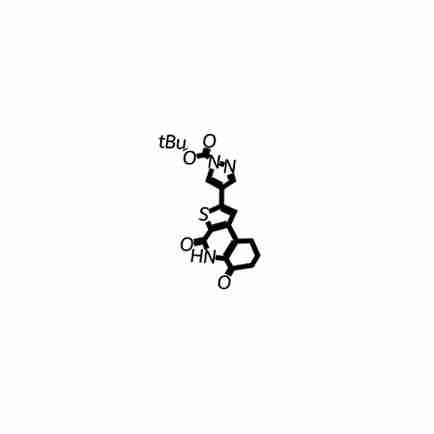 CC(C)(C)OC(=O)n1cc(-c2cc3c4c([nH]c(=O)c3s2)C(=O)CCC4)cn1